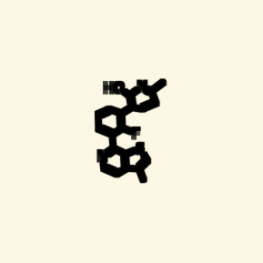 Cc1ccc(-c2cccc(-c3nccc4c(C)csc34)c2F)c(O)n1